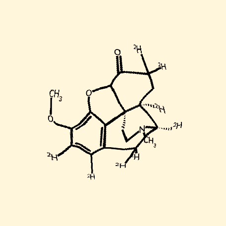 [2H]c1c([2H])c2c3c(c1OC)OC1C(=O)C([2H])([2H])C[C@]4([2H])[C@@]31CCN(C)[C@]4([2H])C2([2H])[2H]